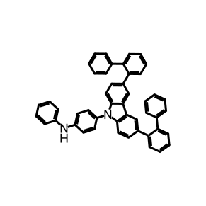 c1ccc(Nc2ccc(-n3c4ccc(-c5ccccc5-c5ccccc5)cc4c4cc(-c5ccccc5-c5ccccc5)ccc43)cc2)cc1